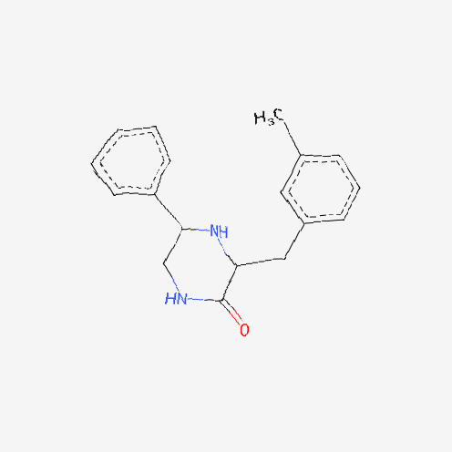 Cc1cccc(CC2NC(c3ccccc3)CNC2=O)c1